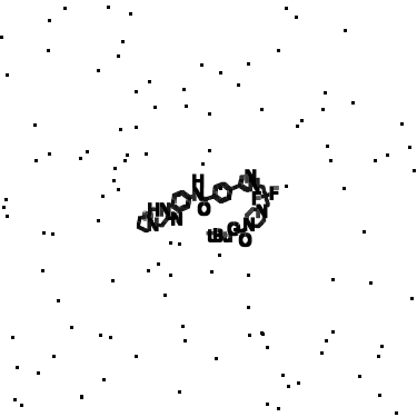 C[C@H]1CCCN1Cc1nc2cc(NC(=O)c3ccc(-c4cnn(CC(F)(F)CN5CCN(C(=O)OC(C)(C)C)CC5)c4)cc3)ccc2[nH]1